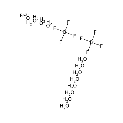 F[B-](F)(F)F.F[B-](F)(F)F.O.O.O.O.O.O.O.O.O.O.O.O.[Fe+2]